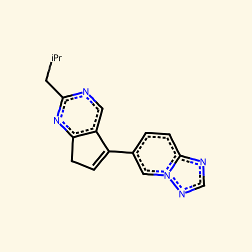 CC(C)Cc1ncc2c(n1)CC=C2c1ccc2ncnn2c1